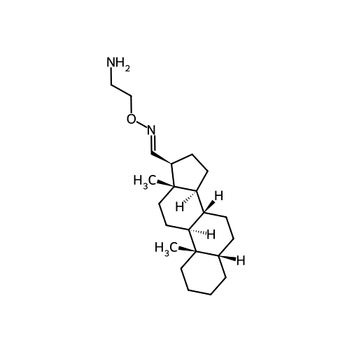 C[C@]12CCCC[C@H]1CC[C@@H]1[C@@H]2CC[C@]2(C)[C@@H](/C=N/OCCN)CC[C@@H]12